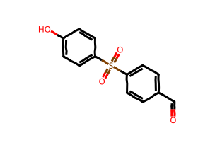 O=Cc1ccc(S(=O)(=O)c2ccc(O)cc2)cc1